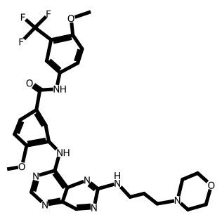 COc1ccc(C(=O)Nc2ccc(OC)c(C(F)(F)F)c2)cc1Nc1ncnc2cnc(NCCCN3CCOCC3)nc12